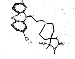 CN1C(=O)OC2(CCN(CCCN3c4ccccc4Sc4ccc(C(F)(F)F)cc43)CC2)C1(C)O